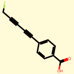 O=C(O)c1ccc(C#CC#CCF)cc1